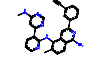 C#Cc1cccc(-c2cc3c(Nc4ncccc4-c4cc(NC)ncn4)c(C)ccc3c(N)n2)c1